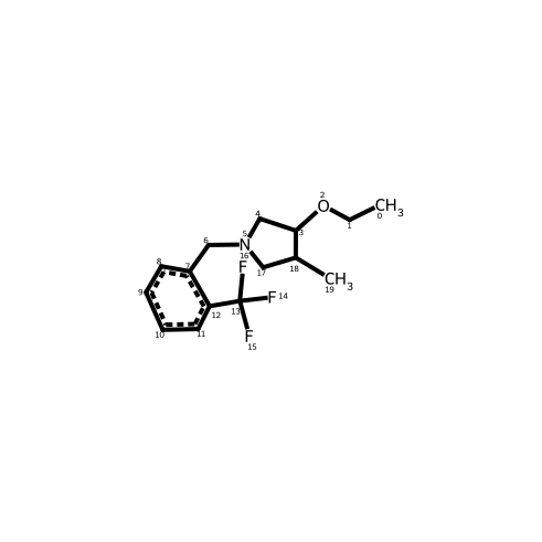 CCOC1CN(Cc2ccccc2C(F)(F)F)CC1C